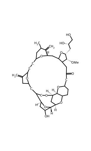 C=C1CC2CC3CO[C@@H]4C[C@@H](OC5CCC(CC(=O)CC6C(C[C@H]7OC(CCC1O2)CC(C)C7=C)O[C@H](C[C@H](O)CO)[C@@H]6OC)O[C@@H]54)[C@H]1O[C@H]3CC1O